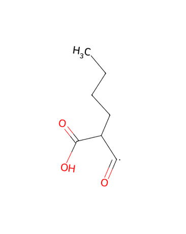 CCCCC([C]=O)C(=O)O